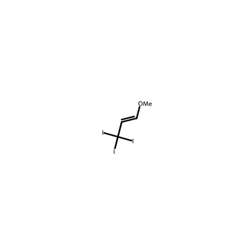 COC=CC(I)(I)I